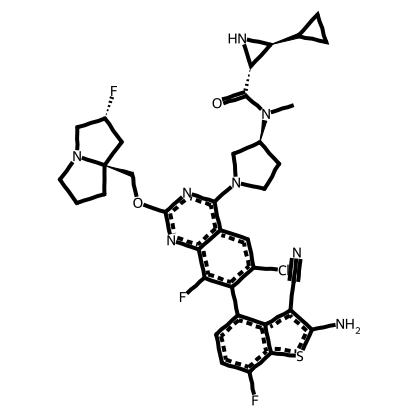 CN(C(=O)[C@@H]1N[C@H]1C1CC1)[C@H]1CCN(c2nc(OC[C@@]34CCCN3C[C@H](F)C4)nc3c(F)c(-c4ccc(F)c5sc(N)c(C#N)c45)c(Cl)cc23)C1